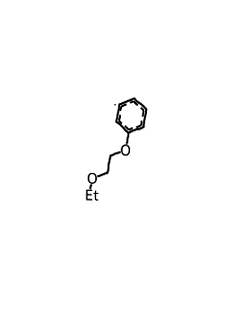 CCOCCOc1c[c]ccc1